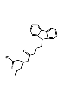 CCCC(CC(=O)O)CC(=O)CCCC1c2ccccc2-c2ccccc21